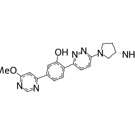 COc1cc(-c2ccc(-c3ccc(N4CC[C@H](N)C4)nn3)c(O)c2)ncn1